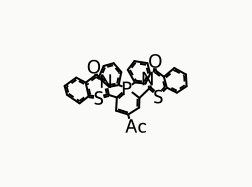 CC(=O)C1=CC(c2nc(=O)c3ccccc3s2)=P(c2ccccc2)(c2ccccc2)C(c2nc(=O)c3ccccc3s2)=C1